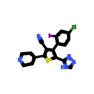 N#Cc1c(-c2ccncc2)sc(-c2nnc[nH]2)c1-c1ccc(Cl)cc1I